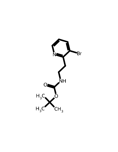 CC(C)(C)OC(=O)NCCc1ncccc1Br